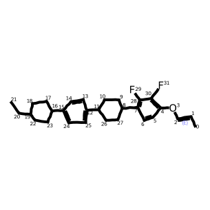 C/C=C/Oc1ccc(C2CCC(c3ccc(C4CCC(CC)CC4)cc3)CC2)c(F)c1F